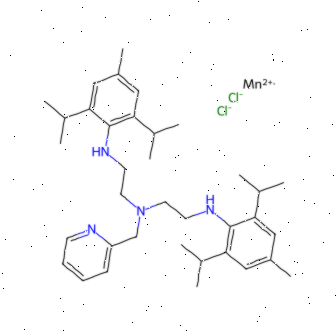 Cc1cc(C(C)C)c(NCCN(CCNc2c(C(C)C)cc(C)cc2C(C)C)Cc2ccccn2)c(C(C)C)c1.[Cl-].[Cl-].[Mn+2]